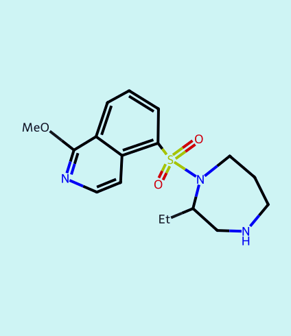 CCC1CNCCCN1S(=O)(=O)c1cccc2c(OC)nccc12